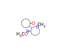 CON=C1CCCCCN(C)CC1C1CCCCCCCC1=O